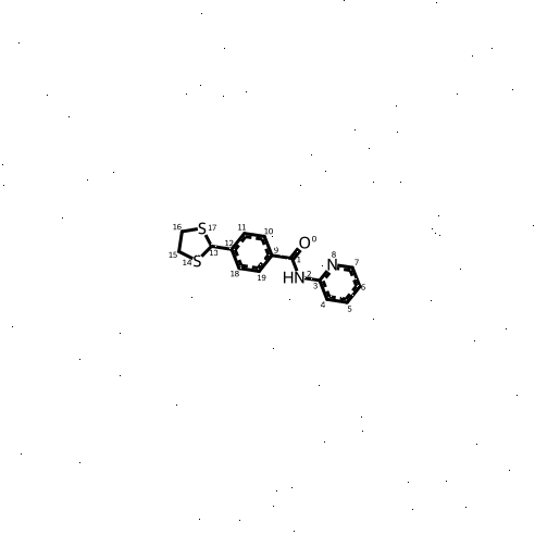 O=C(Nc1ccccn1)c1ccc(C2SCCS2)cc1